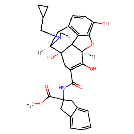 COC(=O)C1(NC(=O)C2=C(O)[C@@H]3Oc4c(O)ccc5c4[C@@]34CCN(CC3CC3)[C@H](C5)[C@]4(O)C2)Cc2ccccc2C1